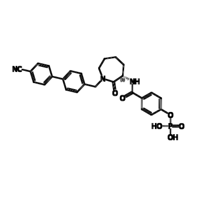 N#Cc1ccc(-c2ccc(CN3CCCC[C@H](NC(=O)c4ccc(OP(=O)(O)O)cc4)C3=O)cc2)cc1